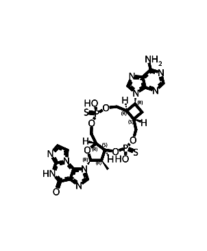 C[C@@H]1[C@@H]2OP(O)(=S)OC[C@H]3C[C@@H](n4cnc5c(N)ncnc54)[C@@H]3COP(O)(=S)OC[C@H]2O[C@H]1n1cnc2c(=O)[nH]c3nccn3c21